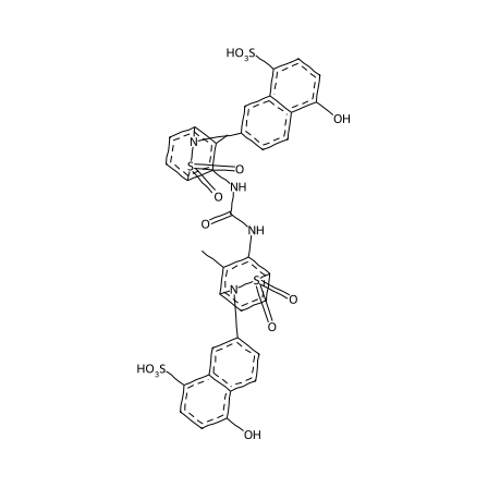 Cc1c2ccc(c1NC(=O)Nc1c3ccc(c1C)N(c1ccc4c(O)ccc(S(=O)(=O)O)c4c1)S3(=O)=O)S(=O)(=O)N2c1ccc2c(O)ccc(S(=O)(=O)O)c2c1